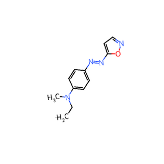 [CH2]CN(C)c1ccc(/N=N/c2ccno2)cc1